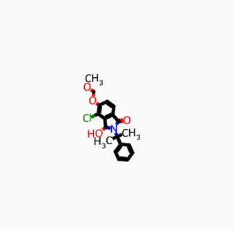 COCOc1ccc2c(c1Cl)C(O)N(C(C)(C)c1ccccc1)C2=O